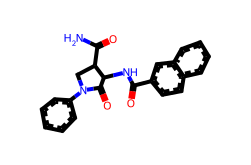 NC(=O)C1CN(c2ccccc2)C(=O)C1NC(=O)c1ccc2ccccc2c1